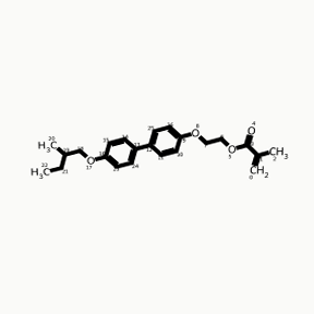 C=C(C)C(=O)OCCOc1ccc(-c2ccc(OCC(C)CC)cc2)cc1